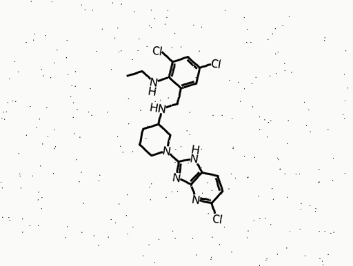 CCNc1c(Cl)cc(Cl)cc1CNC1CCCN(c2nc3nc(Cl)ccc3[nH]2)C1